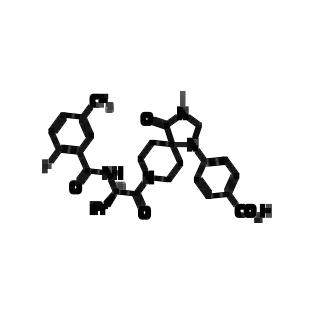 CC(C)[C@@H](NC(=O)c1cc(C(F)(F)F)ccc1F)C(=O)N1CCC2(CC1)C(=O)N(C)CN2c1ccc(C(=O)O)cc1